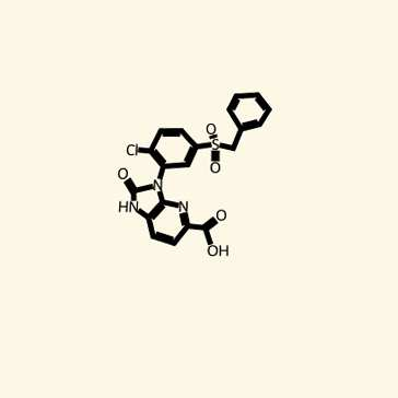 O=C(O)c1ccc2[nH]c(=O)n(-c3cc(S(=O)(=O)Cc4ccccc4)ccc3Cl)c2n1